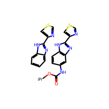 CC(C)OC(=O)Nc1ccc2[nH]c(-c3cscn3)nc2c1.c1ccc2[nH]c(-c3cscn3)nc2c1